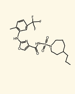 CCCC1CCCN(S(=O)(=O)NC(=O)c2coc(Nc3cc(C(F)(F)F)ccc3C)n2)CC1